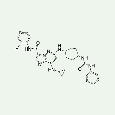 O=C(Nc1ccccc1)NC1CCC(Nc2cc(NC3CC3)c3ncc(C(=O)Nc4ccncc4F)n3n2)CC1